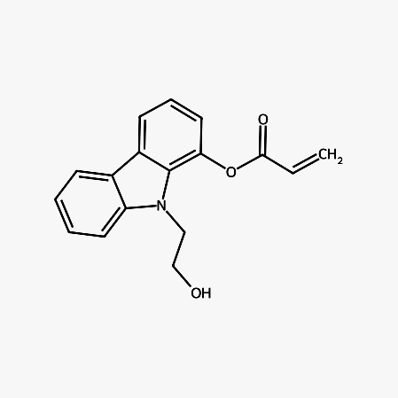 C=CC(=O)Oc1cccc2c3ccccc3n(CCO)c12